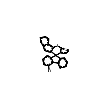 Clc1cccc2c1-c1ccccc1C21c2ccccc2Sc2c1ccc1ccccc21